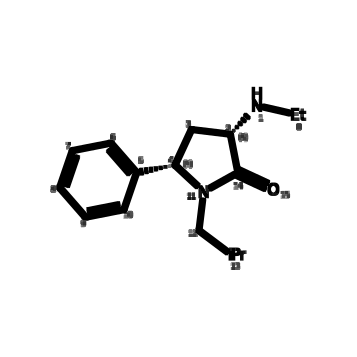 CCN[C@H]1C[C@@H](c2ccccc2)N(CC(C)C)C1=O